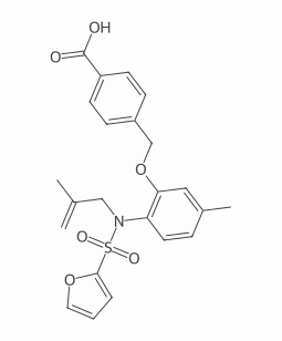 C=C(C)CN(c1ccc(C)cc1OCc1ccc(C(=O)O)cc1)S(=O)(=O)c1ccco1